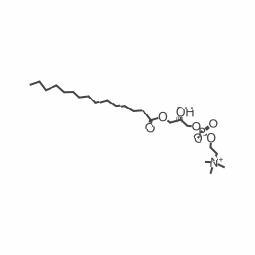 CCCCCCCCCCCCCCC(=O)OC[C@@H](O)COP(=O)([O-])OCC[N+](C)(C)C